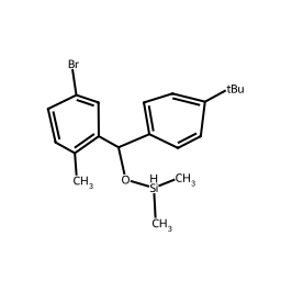 Cc1ccc(Br)cc1C(O[SiH](C)C)c1ccc(C(C)(C)C)cc1